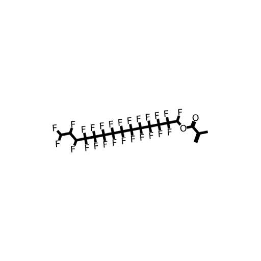 C=C(C)C(=O)OC(F)C(F)(F)C(F)(F)C(F)(F)C(F)(F)C(F)(F)C(F)(F)C(F)(F)C(F)(F)C(F)(F)C(F)(F)C(F)C(F)C(F)F